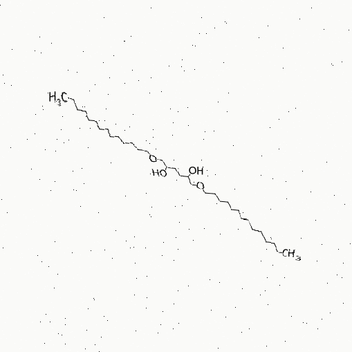 CCCCCCCCCCCCCCOCC(O)[CH]CC(O)COCCCCCCCCCCCCCC